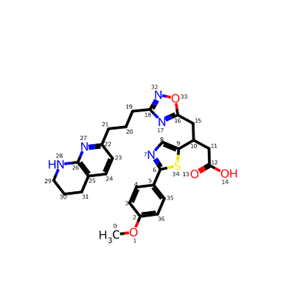 COc1ccc(-c2ncc(C(CC(=O)O)Cc3nc(CCCc4ccc5c(n4)NCCC5)no3)s2)cc1